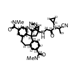 CNC(=O)c1ccc2c(c1)CCc1cc(C(=O)NC)ccc1C2(CC1(NCC(=O)N(C(C)C#N)C2CC2)CC1)c1nnn[nH]1